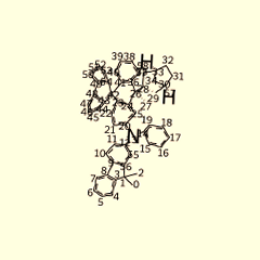 CC1(C)c2ccccc2-c2ccc(N(c3ccccc3)c3ccc4c(c3)[C@](C)([C@H]3C[C@@H]5CC[C@@H](C5)C3)c3ccccc3C43c4ccccc4-c4ccccc43)cc21